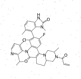 C=CC(=O)N1CC2CCc3c(c4cc(F)c(-c5c(C)ccc6[nH]c(=O)n(C)c56)c(Cl)c4n(-c4c(C)ccnc4C(C)C)c3=O)N2CC1C